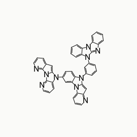 c1cc(-n2c3ccc(-n4c5cccnc5n5c6ncccc6cc45)cc3n3c4cccnc4cc23)cc(-n2c3ccccc3n3c4ccccc4nc23)c1